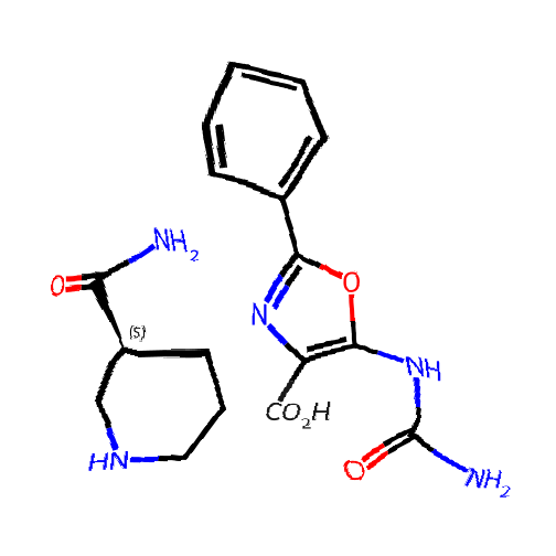 NC(=O)Nc1oc(-c2ccccc2)nc1C(=O)O.NC(=O)[C@H]1CCCNC1